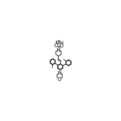 Cc1ccccc1-c1cc(N2CCOCC2)cc(-c2ccccc2C)c1/C=C/C1CCN(C(=O)OC(C)(C)C)CC1